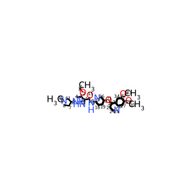 CCO/C(=C/NC1CCN(C)C1)C(=N)C(=O)Nc1ccc(Oc2ccnc3cc(OC)c(OC)cc23)cn1